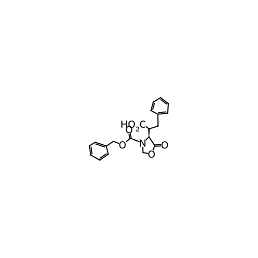 O=C(O)C(Cc1ccccc1)[C@H]1C(=O)OCN1C(=O)OCc1ccccc1